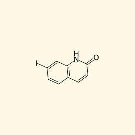 O=c1ccc2ccc(I)cc2[nH]1